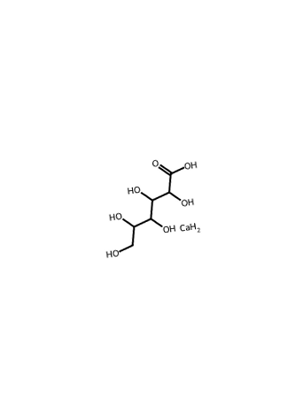 O=C(O)C(O)C(O)C(O)C(O)CO.[CaH2]